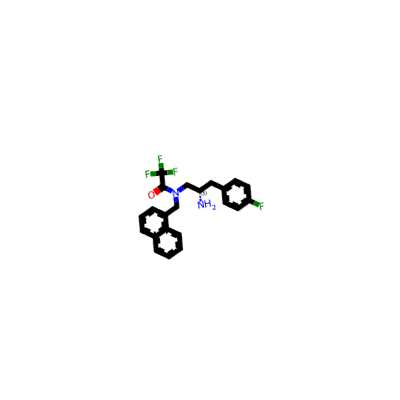 N[C@@H](Cc1ccc(F)cc1)CN(Cc1cccc2ccccc12)C(=O)C(F)(F)F